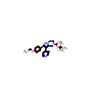 CCOc1ccc(-c2nn3c(c2-c2ccncc2)CN(C(=O)OC(C)(C)C)CC3)cc1